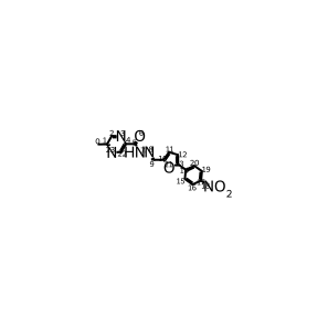 Cc1cnc(C(=O)NN=Cc2ccc(-c3ccc([N+](=O)[O-])cc3)o2)cn1